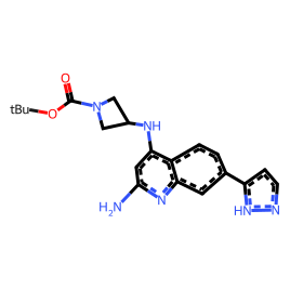 CC(C)(C)OC(=O)N1CC(Nc2cc(N)nc3cc(-c4ccn[nH]4)ccc23)C1